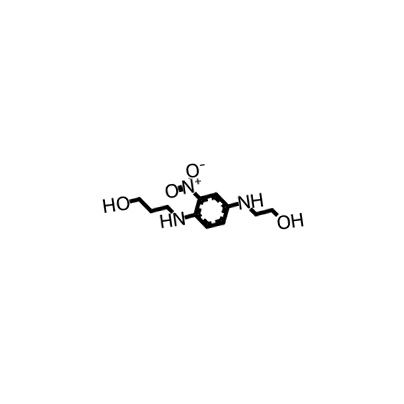 O=[N+]([O-])c1cc(NCCO)ccc1NCCCO